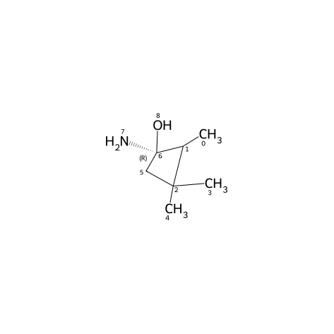 CC1C(C)(C)C[C@@]1(N)O